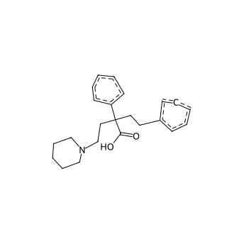 O=C(O)C(CCc1ccccc1)(CCN1CCCCC1)c1ccccc1